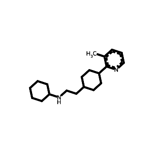 Cc1cccnc1C1CCC(CCNC2CCCCC2)CC1